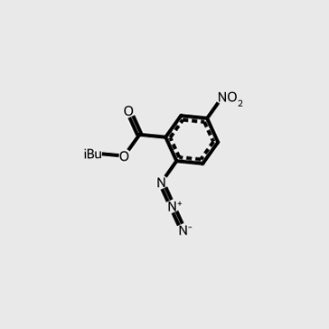 CCC(C)OC(=O)c1cc([N+](=O)[O-])ccc1N=[N+]=[N-]